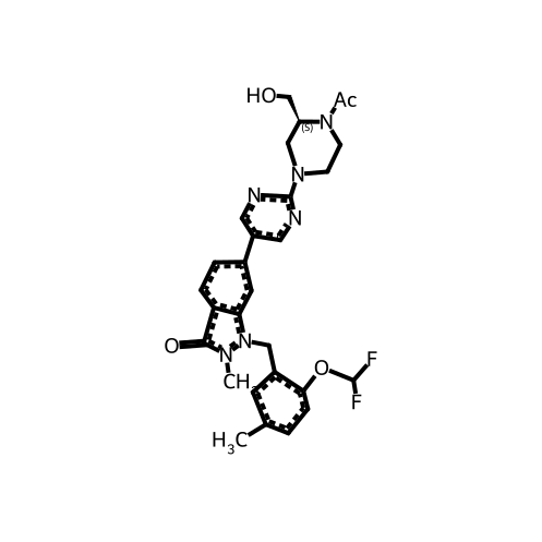 CC(=O)N1CCN(c2ncc(-c3ccc4c(=O)n(C)n(Cc5cc(C)ccc5OC(F)F)c4c3)cn2)C[C@H]1CO